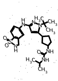 CC(C)NC(=O)NC1CCC(c2cc(Nc3ccc4c(c3)CNS4(=O)=O)nn2C(C)(C)C)C1